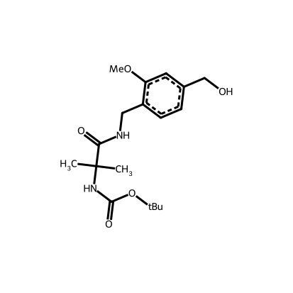 COc1cc(CO)ccc1CNC(=O)C(C)(C)NC(=O)OC(C)(C)C